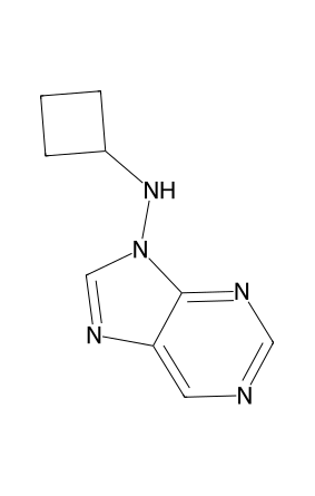 c1ncc2ncn(NC3CCC3)c2n1